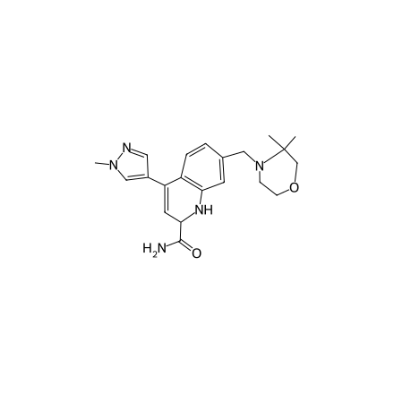 Cn1cc(C2=CC(C(N)=O)Nc3cc(CN4CCOCC4(C)C)ccc32)cn1